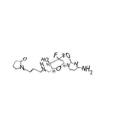 Nc1ccn([C@@H]2O[C@H](CNCCCN3CCCC3=O)[C@@H](O)C2(F)F)c(=O)n1